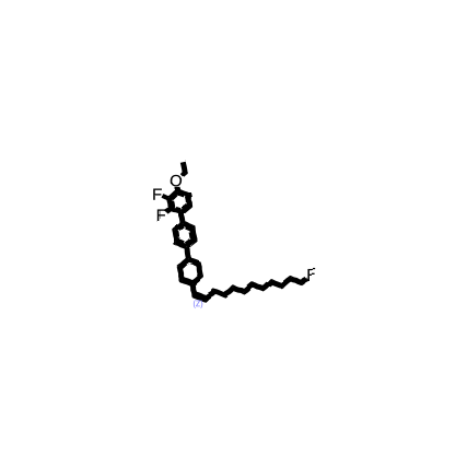 CCOc1ccc(-c2ccc(C3CCC(/C=C\CCCCCCCCCCF)CC3)cc2)c(F)c1F